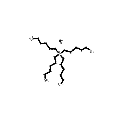 CCCCCC[P+](CCCCCC)(CCCCCC)CCCCCC.[Br-]